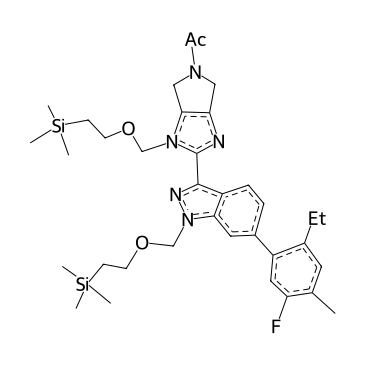 CCc1cc(C)c(F)cc1-c1ccc2c(-c3nc4c(n3COCC[Si](C)(C)C)CN(C(C)=O)C4)nn(COCC[Si](C)(C)C)c2c1